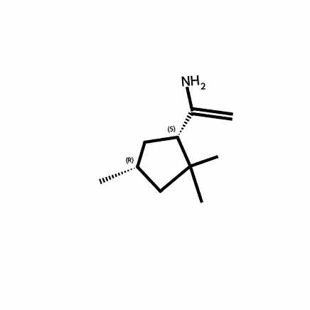 C=C(N)[C@H]1C[C@@H](C)CC1(C)C